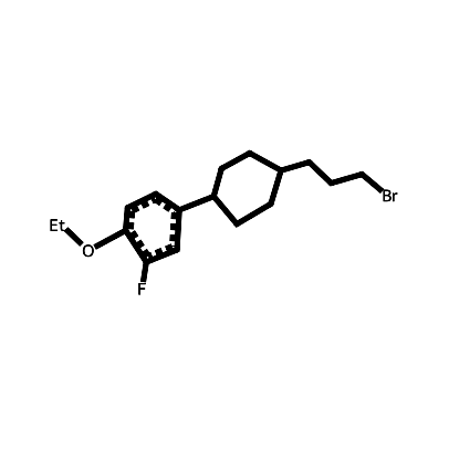 CCOc1ccc(C2CCC(CCCBr)CC2)cc1F